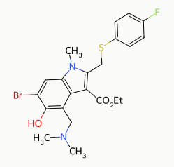 CCOC(=O)c1c(CSc2ccc(F)cc2)n(C)c2cc(Br)c(O)c(CN(C)C)c12